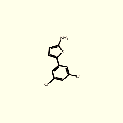 Nc1ccc(-c2cc(Cl)cc(Cl)c2)s1